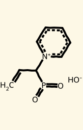 C=CC([n+]1ccccc1)P(=O)=O.[OH-]